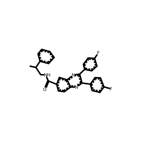 CC(CNC(=O)c1ccc2nc(-c3ccc(F)cc3)c(-c3ccc(F)cc3)nc2c1)c1ccccc1